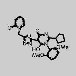 COc1cccc(OC)c1-n1c(C2CCCC2)nc(=O)c(-c2nnc(Cn3ccccc3=O)o2)c1O